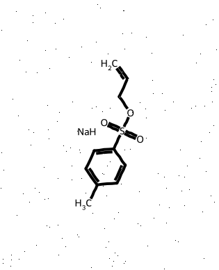 C=CCOS(=O)(=O)c1ccc(C)cc1.[NaH]